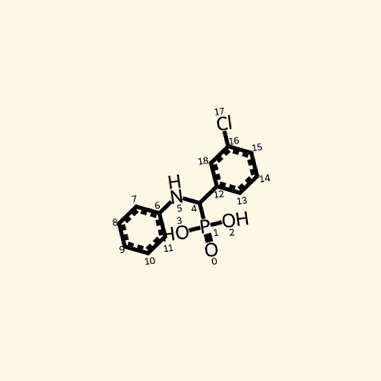 O=P(O)(O)C(Nc1ccccc1)c1cccc(Cl)c1